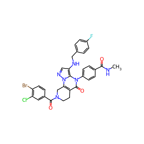 CNC(=O)c1ccc(-n2c(=O)c3c(n4ncc(NCc5ccc(F)cc5)c24)CN(C(=O)c2ccc(Br)c(Cl)c2)CC3)cc1